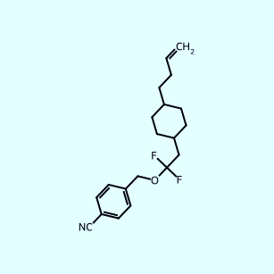 C=CCCC1CCC(CC(F)(F)OCc2ccc(C#N)cc2)CC1